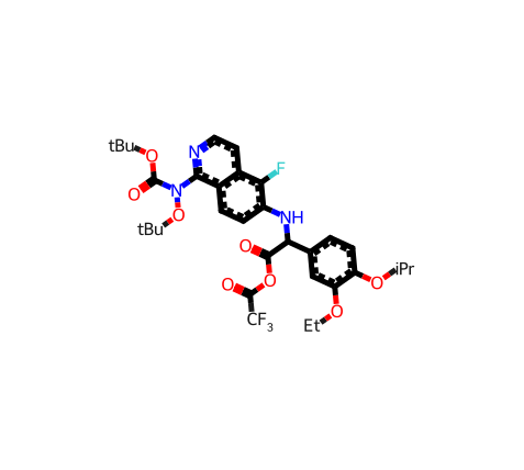 CCOc1cc(C(Nc2ccc3c(N(OC(C)(C)C)C(=O)OC(C)(C)C)nccc3c2F)C(=O)OC(=O)C(F)(F)F)ccc1OC(C)C